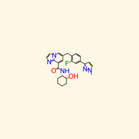 Cn1ccc(-c2ccc(Cc3cc(C(=O)N[C@H]4CCCC[C@@H]4O)c4nccn4c3)c(F)c2)n1